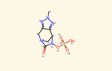 Cn1nc2c(n1)C1CN(C2)C(=O)N1OS(=O)(=O)O